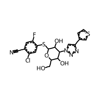 N#Cc1cc(F)c(SC2OC(CO)C(O)C(n3cc(-c4ccsc4)nn3)C2O)cc1Cl